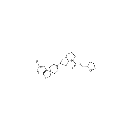 O=C(OCC1CCCO1)N1CCCC2CC(N3CCC4(CC3)COc3ccc(F)cc34)CC21